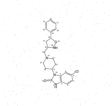 O=c1[nH]c2ccc(Cl)cc2n1C1CCN(CC2CC(c3ccccc3)ON2)CC1